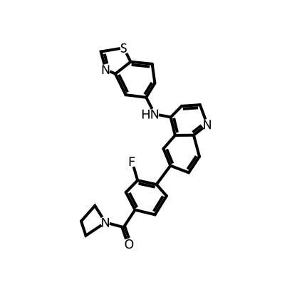 O=C(c1ccc(-c2ccc3nccc(Nc4ccc5scnc5c4)c3c2)c(F)c1)N1CCC1